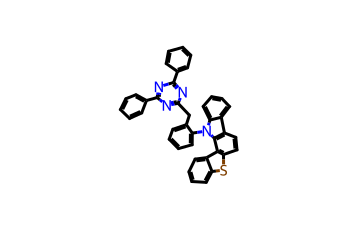 c1ccc(-c2nc(Cc3ccccc3-n3c4ccccc4c4ccc5sc6ccccc6c5c43)nc(-c3ccccc3)n2)cc1